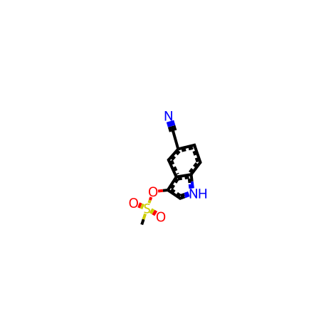 CS(=O)(=O)Oc1c[nH]c2ccc(C#N)cc12